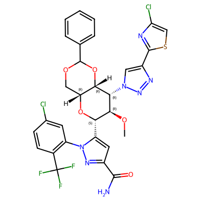 CO[C@@H]1[C@@H](n2cc(-c3nc(Cl)cs3)nn2)[C@H]2OC(c3ccccc3)OC[C@H]2O[C@H]1c1cc(C(N)=O)nn1-c1cc(Cl)ccc1C(F)(F)F